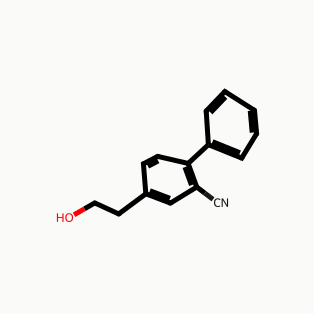 N#Cc1cc(CCO)ccc1-c1ccccc1